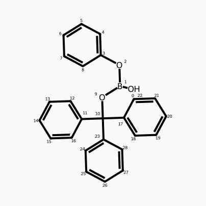 OB(Oc1ccccc1)OC(c1ccccc1)(c1ccccc1)c1ccccc1